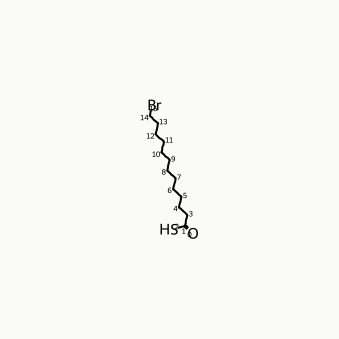 O=C(S)CCCCCCCCCCCCBr